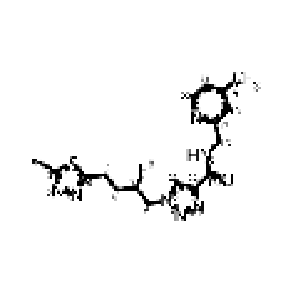 Cc1nnc(CCC(F)Cn2cc(C(=O)NCc3cc(C(F)(F)F)ccn3)nn2)s1